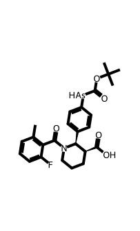 Cc1cccc(F)c1C(=O)N1CCC[C@H](C(=O)O)[C@@H]1c1ccc([AsH]C(=O)OC(C)(C)C)cc1